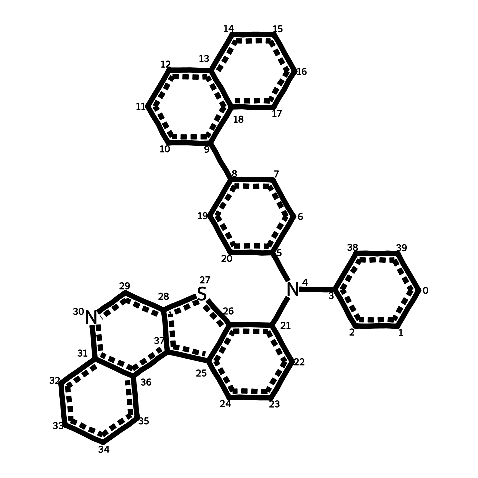 c1ccc(N(c2ccc(-c3cccc4ccccc34)cc2)c2cccc3c2sc2cnc4ccccc4c23)cc1